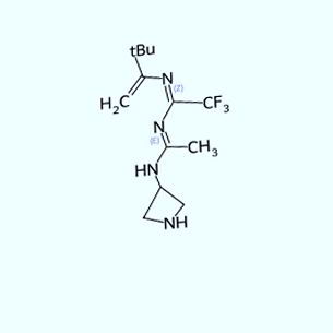 C=C(/N=C(\N=C(/C)NC1CNC1)C(F)(F)F)C(C)(C)C